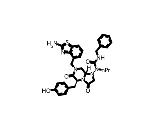 CCCN(C(=O)NCc1ccccc1)N1CC(=O)N2[C@@H](Cc3ccc(O)cc3)C(=O)N(Cc3cccc4sc(N)nc34)C[C@@H]21